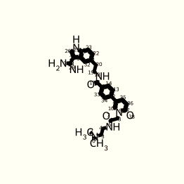 CN(C)CCNC(=O)Cn1cc(-c2ccc(C(=O)NCCc3ccc4[nH]cc(C(=N)N)c4c3)cc2)ccc1=O